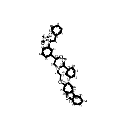 CS(=O)(=O)N(Cc1ccccc1)c1cccc(C(=O)CN(CCOc2ccc3c(c2)sc2ccccc23)C(=O)c2ccccc2)c1